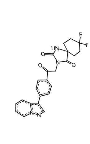 O=C(CN1C(=O)NC2(CCC(F)(F)CC2)C1=O)c1ccc(-c2cnn3ccccc23)cc1